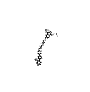 COC(=O)c1ccc(OCCOCCOCCN2CCC(c3ccc4c(c3)[nH]c3ccncc34)CC2)cc1C(=O)OC